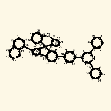 c1ccc(-c2cc(-c3ccc(-c4ccc5c(c4)C4(c6ccccc6Oc6ccccc64)c4cc(-c6cccc7ccncc67)ccc4-5)cc3)nc(-c3ccccc3)n2)cc1